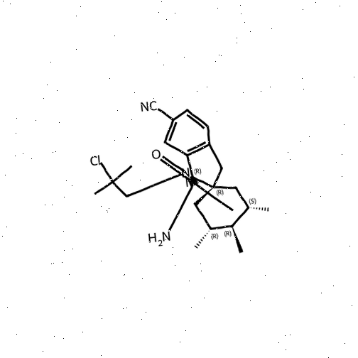 C[C@H]1[C@H](C)C[C@@]2(Cc3ccc(C#N)cc3[C@]23N=C(N)N(CC(C)(C)Cl)C3=O)C[C@@H]1C